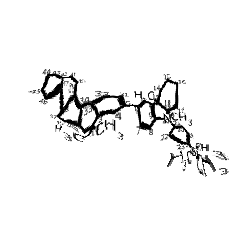 CC1(C)c2cc(-c3ccc4c(c3)C3(C)CCCCC3(C)N4c3ccc([Si](C)(C)C)cc3)ccc2-c2c1ccc1c2ccc2ccccc21